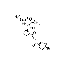 COC(=O)N[C@H](C(=O)N1CCCC1C(=O)OCC(=O)c1ccc(Br)nc1)C(C)C